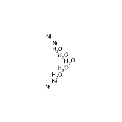 O.O.O.O.O.[Ni].[Ni].[Ni].[Ni]